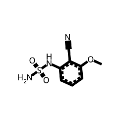 COc1cccc(NS(N)(=O)=O)c1C#N